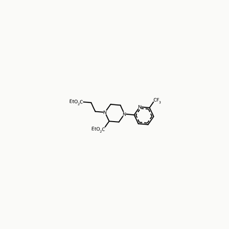 CCOC(=O)CCN1CCN(c2cccc(C(F)(F)F)n2)CC1C(=O)OCC